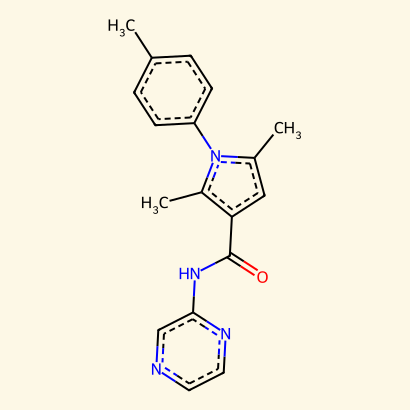 Cc1ccc(-n2c(C)cc(C(=O)Nc3cnccn3)c2C)cc1